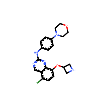 Clc1ccc(OC2CNC2)c2nc(Nc3ccc(N4CCOCC4)cc3)ncc12